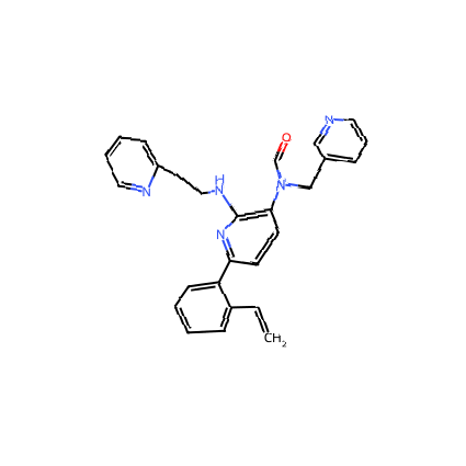 C=Cc1ccccc1-c1ccc(N(C=O)Cc2cccnc2)c(NCCc2ccccn2)n1